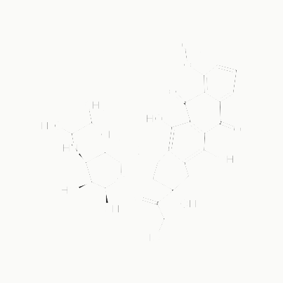 COc1cccc2c1C(=O)c1c(O)c3c(c(O)c1C2=O)C[C@@](O)(C(=O)CO)C[C@@H]3O[C@H]1C[C@H](NC(C)C(C)C)[C@H](O)[C@H](C)O1